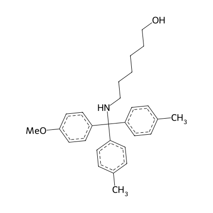 COc1ccc(C(NCCCCCCO)(c2ccc(C)cc2)c2ccc(C)cc2)cc1